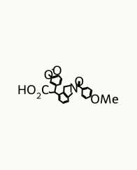 COc1ccc(C(=O)N2CCc3c(cccc3C(CC(=O)O)c3ccc4c(c3)OCO4)C2)cc1